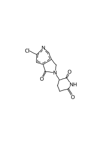 O=C1CCC(N2Cc3cnc(Cl)cc3C2=O)C(=O)N1